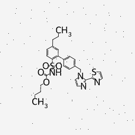 CCCCOC(=O)NS(=O)(=O)c1ccc(CCC)cc1-c1ccc(Cn2ccnc2-c2nccs2)cc1